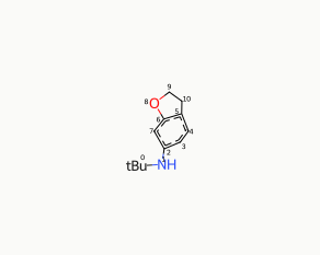 CC(C)(C)Nc1ccc2c(c1)OCC2